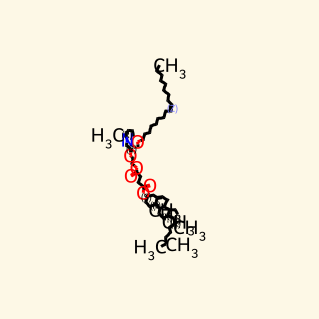 CCCCCCCC/C=C\CCCCCCCCOC[C@@H](CN1CCC[C@H]1C)OCCOC(=O)CCC(=O)O[C@H]1CC[C@@]2(C)C(=CCC3C2CC[C@@]2(C)C3CC[C@@H]2[C@H](C)CCCC(C)C)C1